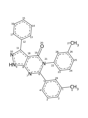 Cc1cccc(-c2nc3[nH]nc(-c4ccccc4)c3c(=O)n2-c2cccc(C)c2)c1